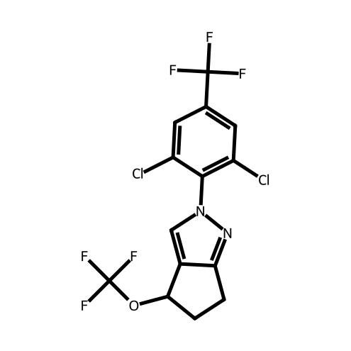 FC(F)(F)OC1CCc2nn(-c3c(Cl)cc(C(F)(F)F)cc3Cl)cc21